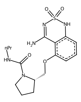 CCCNC(=O)N1CCC[C@H]1COc1cccc2c1C(N)=NS(=O)(=O)N2